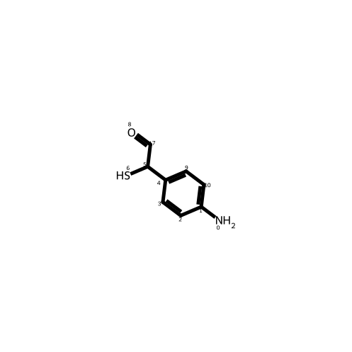 Nc1ccc(C(S)[C]=O)cc1